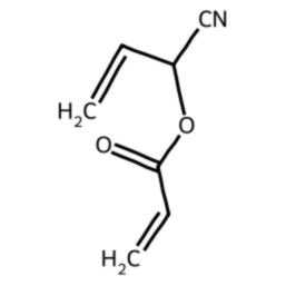 C=CC(=O)OC(C#N)C=C